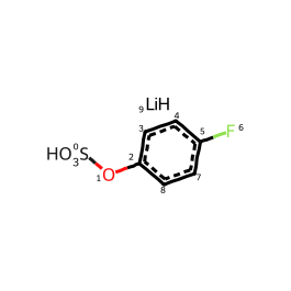 O=S(=O)(O)Oc1ccc(F)cc1.[LiH]